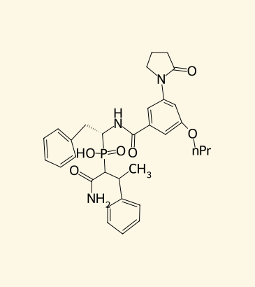 CCCOc1cc(C(=O)N[C@@H](Cc2ccccc2)P(=O)(O)C(C(N)=O)C(C)c2ccccc2)cc(N2CCCC2=O)c1